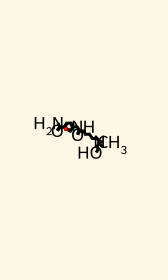 CN(CCO)CCCCCC(=O)Nc1ccc(C(N)=O)cc1